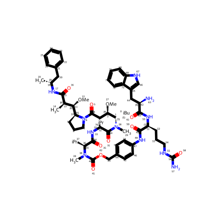 CC[C@H](C)[C@@H]([C@@H](CC(=O)N1CCC[C@H]1[C@H](OC)[C@@H](C)C(=O)N[C@H](C)Cc1ccccc1)OC)N(C)C(=O)[C@@H](NC(=O)[C@H](C(C)C)N(C)C(=O)OCc1ccc(NC(=O)[C@H](CCCNC(N)=O)NC(=O)[C@H](N)Cc2c[nH]c3ccccc23)cc1)C(C)C